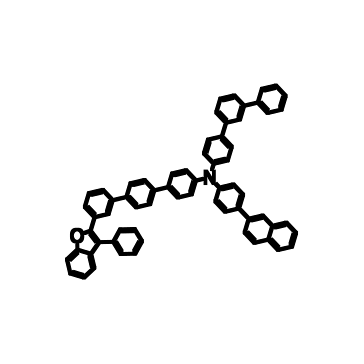 c1ccc(-c2cccc(-c3ccc(N(c4ccc(-c5ccc(-c6cccc(-c7oc8ccccc8c7-c7ccccc7)c6)cc5)cc4)c4ccc(-c5ccc6ccccc6c5)cc4)cc3)c2)cc1